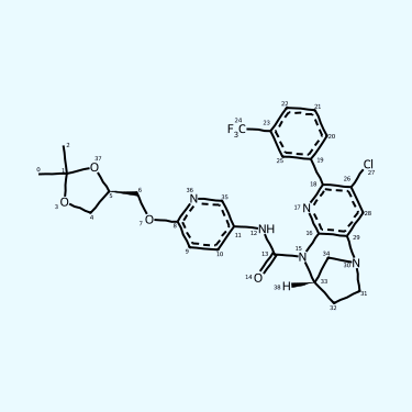 CC1(C)OC[C@H](COc2ccc(NC(=O)N3c4nc(-c5cccc(C(F)(F)F)c5)c(Cl)cc4N4CC[C@H]3C4)cn2)O1